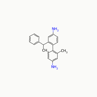 Cc1cc(N)ccc1-c1ccc(N)cc1C(C)c1ccccc1